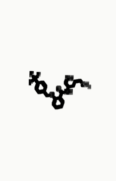 C/C=C\CC(C=N)NC(=O)c1ccccc1OCc1ccc(C(F)(F)F)cc1